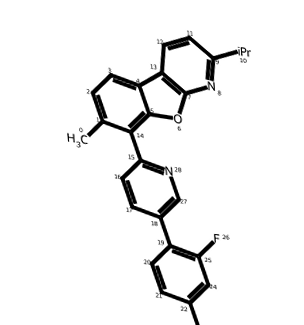 Cc1ccc2c(oc3nc(C(C)C)ccc32)c1-c1ccc(-c2ccc(F)cc2F)cn1